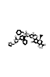 O=C(O)c1cn(C2CC2)c2c3c(c(F)cc2c1=O)N1C[C@](COc2ccc(N4C[C@H](Cn5ccnn5)OC4=O)cc2F)(OP(=O)(OCc2ccccc2)OCc2ccccc2)C[C@H]1CO3